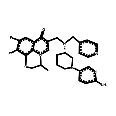 CC1COc2c(F)c(F)cc3c(=O)c(CN(Cc4ccncc4)[C@H]4CCCN(c5ccc(N)nc5)C4)cn1c23